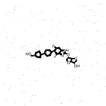 OCc1ccc(-c2ccc(-c3c(F)cc4[nH]c(O[C@H]5COC6C5OC[C@@H]6O)nc4c3F)cc2)cc1